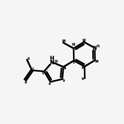 C=C(C)c1ccc(-c2c(C)cncc2C)[nH]1